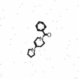 O=C(c1ccccc1)N1CC=C(N2CCCC2)CC1